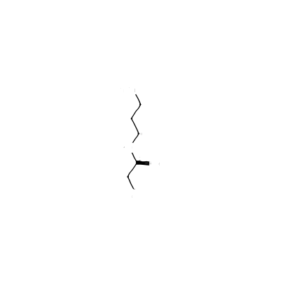 CCCCCCCOC(=O)CI